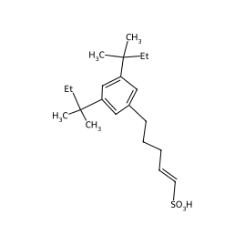 CCC(C)(C)c1cc(CCCC=CS(=O)(=O)O)cc(C(C)(C)CC)c1